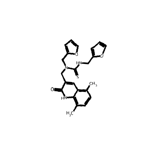 Cc1ccc(C)c2[nH]c(=O)c(CN(Cc3ccco3)C(=S)NCc3ccco3)cc12